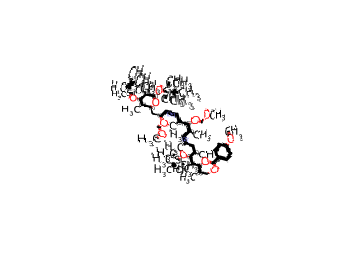 COCO[C@@H]([C@@H](C)/C=C\[C@H](C[C@@H]1O[C@@H](O[Si](C)(C)C(C)(C)C)[C@H](C)[C@@H](O[Si](C)(C)C(C)(C)C)[C@H]1C)OCOC)[C@@H](C)/C=C(/C)C[C@H](C)[C@@H](O[Si](C)(C)C(C)(C)C)[C@H](C)[C@H]1OC(c2ccc(OC)cc2)OC[C@@H]1C